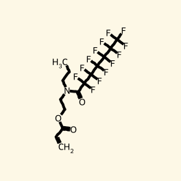 C=CC(=O)OCCN(CCC)C(=O)C(F)(F)C(F)(F)C(F)(F)C(F)(F)C(F)(F)C(F)(F)F